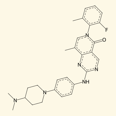 Cc1cccc(F)c1-n1cc(C)c2nc(Nc3ccc(N4CCC(N(C)C)CC4)cc3)ncc2c1=O